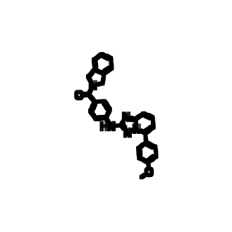 COc1ccc(-c2cccc3nc(Nc4ccc(C(=O)N5Cc6ccccc6C5)cc4)nn23)cc1